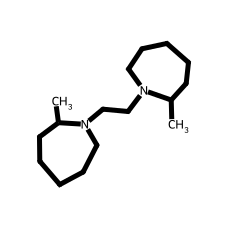 CC1CCCCCN1CCN1CCCCCC1C